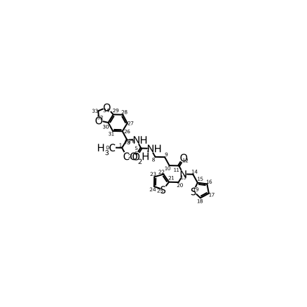 CC(C(=O)O)[C@H](NC(=O)NCCCC(=O)N(Cc1cccs1)Cc1cccs1)c1ccc2c(c1)OCO2